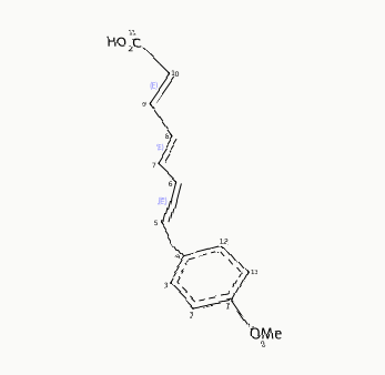 COc1ccc(/C=C/C=C/C=C/C(=O)O)cc1